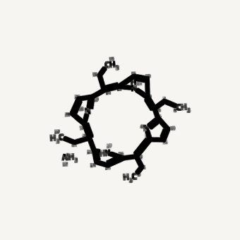 CCc1c2nc(c(CC)c3ccc([nH]3)c(CC)c3nc(c(CC)c4ccc1[nH]4)C=C3)C=C2.[AlH3]